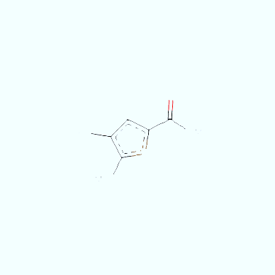 COC(=O)c1cc(C(=O)O)c(SC)s1